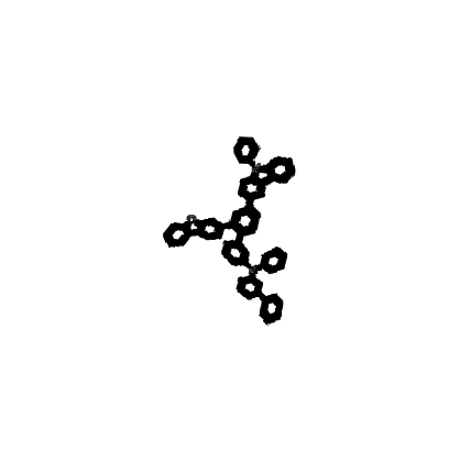 c1ccc(-c2cccc(N(c3ccccc3)c3cccc(-c4ccc(-c5ccc6c(c5)c5ccccc5n6-c5ccccc5)cc4-c4ccc5c(c4)oc4ccccc45)c3)c2)cc1